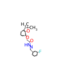 CC1(C)Cc2cccc(OCC(=O)N/N=C/c3cccc(F)c3)c2O1